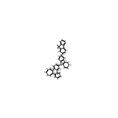 CC1(C)c2ccccc2-c2ccc(-c3ccc4c(c3)c3c(n4-c4ccc5c6c(c7ccccc7c5c4)=CCC=CC=6)C=CCC3)cc21